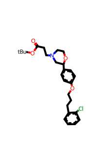 CC(C)(C)OC(=O)CCN1CCOC(c2ccc(OCCCc3ccccc3Cl)cc2)C1